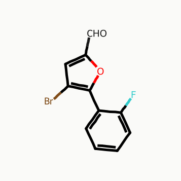 O=Cc1cc(Br)c(-c2ccccc2F)o1